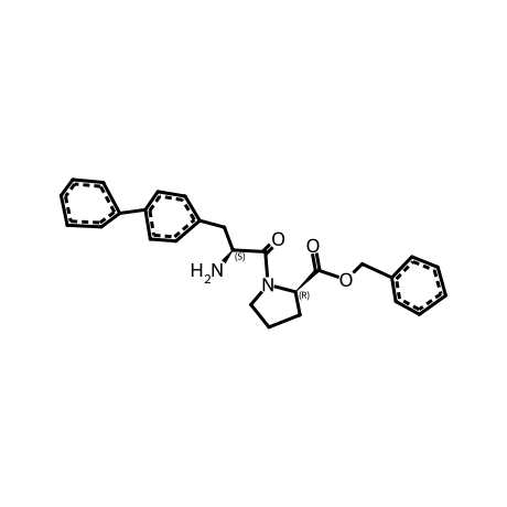 N[C@@H](Cc1ccc(-c2ccccc2)cc1)C(=O)N1CCC[C@@H]1C(=O)OCc1ccccc1